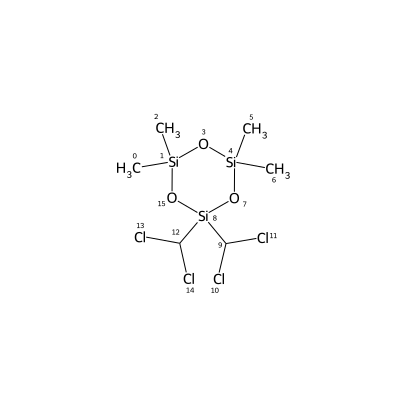 C[Si]1(C)O[Si](C)(C)O[Si](C(Cl)Cl)(C(Cl)Cl)O1